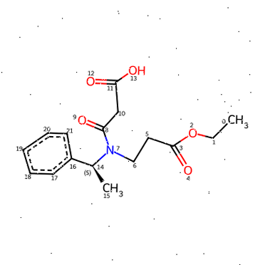 CCOC(=O)CCN(C(=O)CC(=O)O)[C@@H](C)c1ccccc1